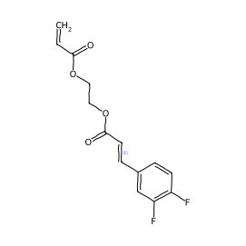 C=CC(=O)OCCOC(=O)/C=C/c1ccc(F)c(F)c1